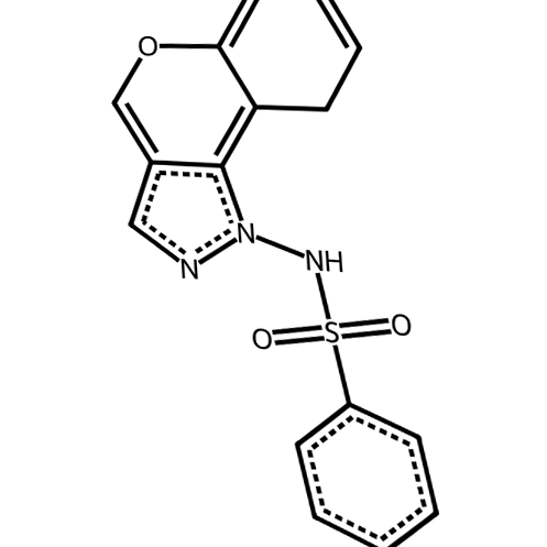 O=S(=O)(Nn1ncc2c1=C1CC=CC=C1OC=2)c1ccccc1